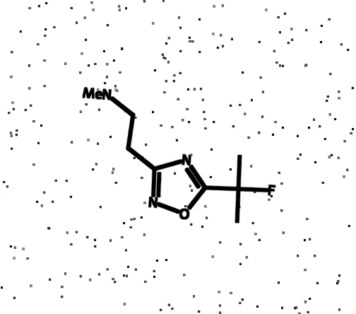 CNCCc1noc(C(C)(C)F)n1